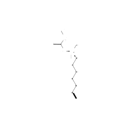 C=CCCCCC[SiH](C)OC(C)OC